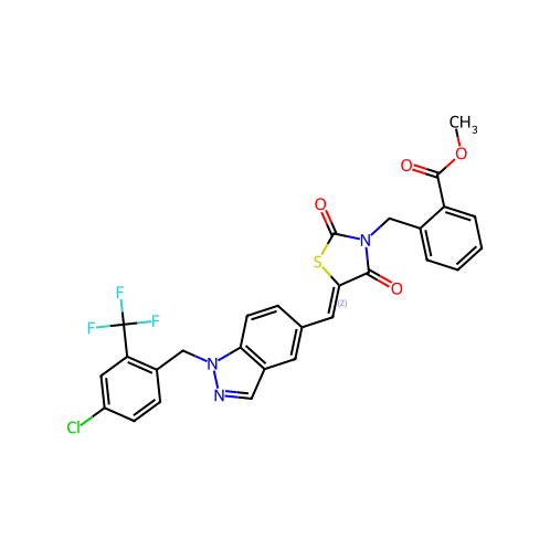 COC(=O)c1ccccc1CN1C(=O)S/C(=C\c2ccc3c(cnn3Cc3ccc(Cl)cc3C(F)(F)F)c2)C1=O